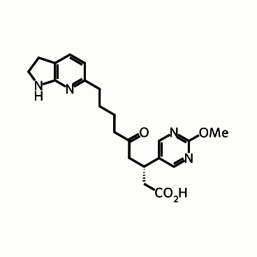 COc1ncc([C@H](CC(=O)O)CC(=O)CCCCc2ccc3c(n2)NCC3)cn1